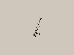 CNC(=O)OCCSSCCBr